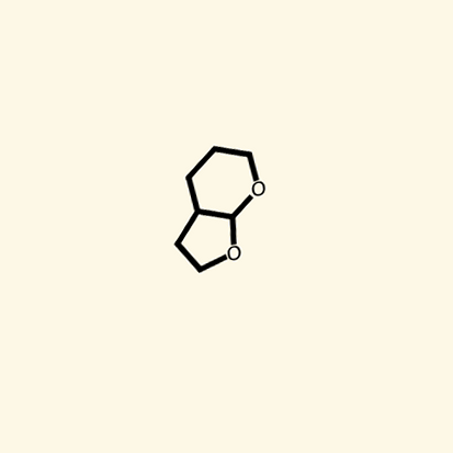 C1COC2OCCC2C1